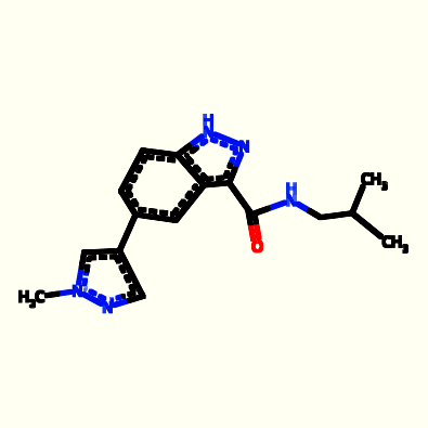 CC(C)CNC(=O)c1n[nH]c2ccc(-c3cnn(C)c3)cc12